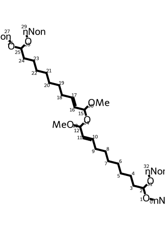 CCCCCCCCCOC(CCCCCCCC=CC(OC)OC(C=CCCCCCCCC(OCCCCCCCCC)OCCCCCCCCC)OC)OCCCCCCCCC